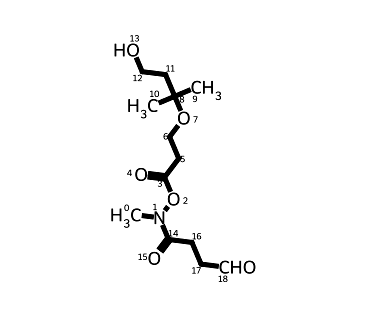 CN(OC(=O)CCOC(C)(C)CCO)C(=O)CCC=O